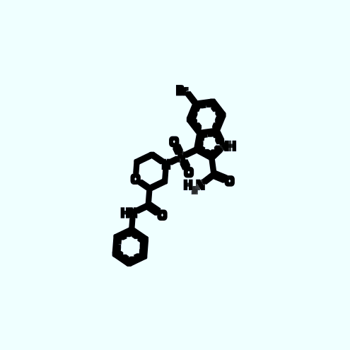 NC(=O)c1[nH]c2ccc(Br)cc2c1S(=O)(=O)N1CCOC(C(=O)Nc2ccccc2)C1